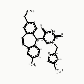 COCc1ccc2c(c1)C=Cc1cc(C)ccc1C2c1cn(Cc2nc(C(=O)O)cs2)c(=O)[nH]c1=S